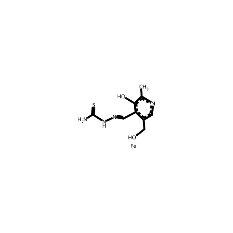 Cc1ncc(CO)c(C=NNC(N)=S)c1O.[Fe]